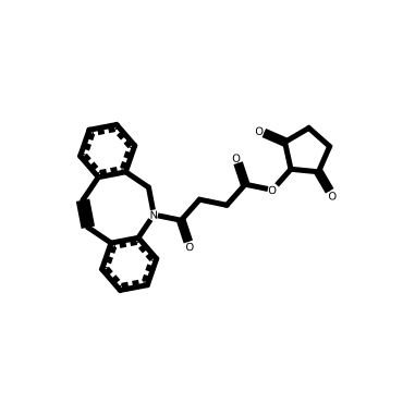 O=C(CCC(=O)N1Cc2ccccc2C#Cc2ccccc21)OC1C(=O)CCC1=O